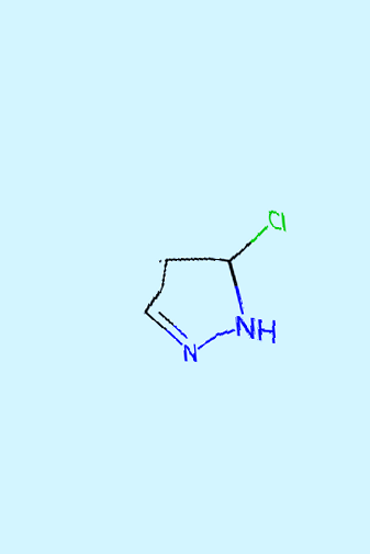 ClC1[CH]C=NN1